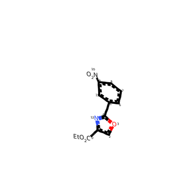 CCOC(=O)c1coc(-c2cccc([N+](=O)[O-])c2)n1